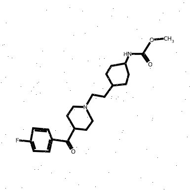 COC(=O)NC1CCC(CCN2CCC(C(=O)c3ccc(F)cc3)CC2)CC1